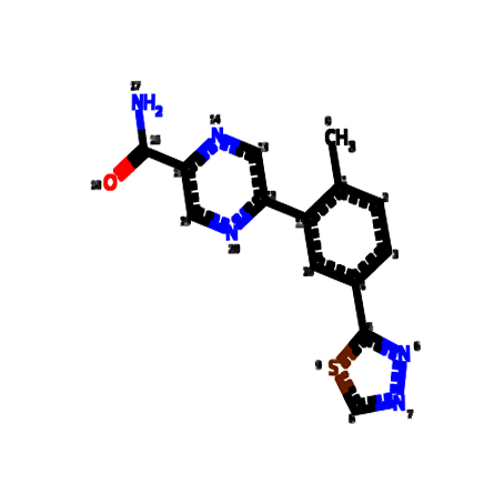 Cc1ccc(-c2nncs2)cc1-c1cnc(C(N)=O)cn1